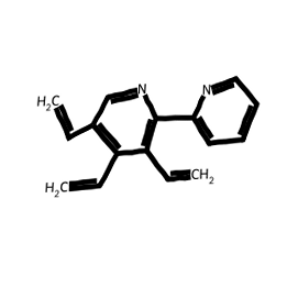 C=Cc1cnc(-c2ccccn2)c(C=C)c1C=C